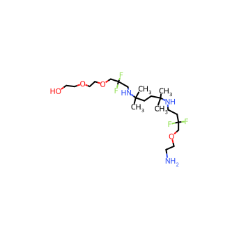 CC(C)(CCC(C)(C)NCC(F)(F)COCCOCCO)NCCC(F)(F)COCCN